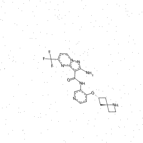 Nc1nn2ccc(C(F)(F)F)nc2c1C(=O)Nc1cnccc1O[C@H]1C[C@@]2(CCN2)C1